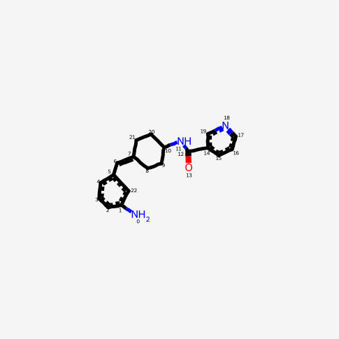 Nc1cccc(C=C2CCC(NC(=O)c3cccnc3)CC2)c1